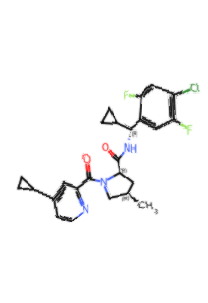 C[C@@H]1C[C@H](C(=O)N[C@@H](c2cc(F)c(Cl)cc2F)C2CC2)N(C(=O)c2cc(C3CC3)ccn2)C1